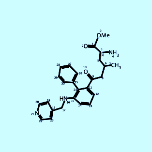 COC(=O)[C@@H](N)CC(C)CC(=O)c1cccc(NCc2ccncc2)c1-c1ccccc1